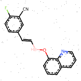 N#Cc1cc(C=CBOc2cccc3cccnc23)ccc1F